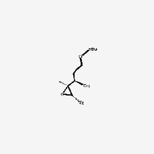 CCCCOCC[C@@H](O)[C@]1(C)O[C@H]1CC